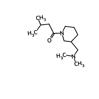 CC(C)CC(=O)N1CCCC(CN(C)C)C1